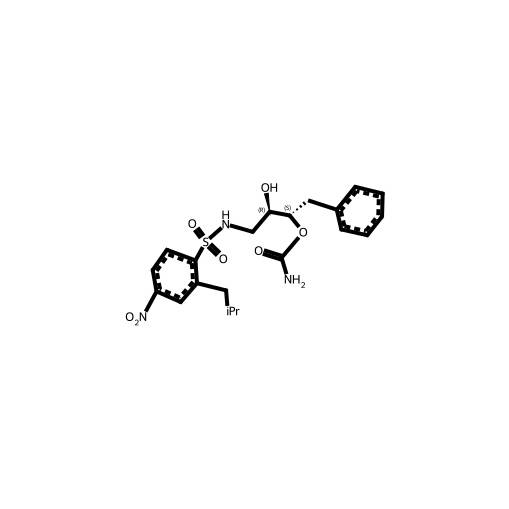 CC(C)Cc1cc([N+](=O)[O-])ccc1S(=O)(=O)NC[C@@H](O)[C@H](Cc1ccccc1)OC(N)=O